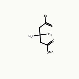 CCC(=O)CC(C)(C)CC(=O)OC